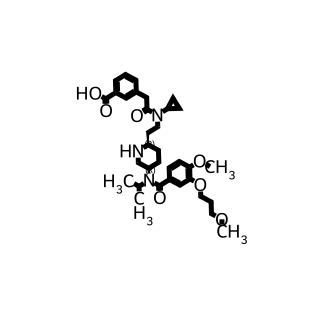 COCCCOc1cc(C(=O)N(C(C)C)[C@@H]2CC[C@H](CCN(C(=O)Cc3cccc(C(=O)O)c3)C3CC3)NC2)ccc1OC